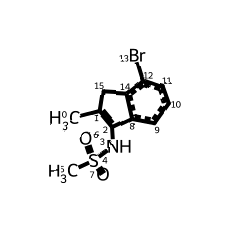 CC1=C(NS(C)(=O)=O)c2cccc(Br)c2C1